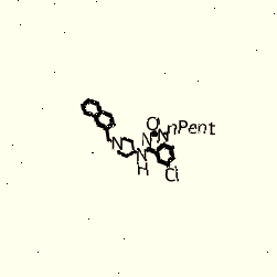 CCCCCn1c(=O)nc(NC2CCN(Cc3ccc4ccccc4c3)CC2)c2cc(Cl)ccc21